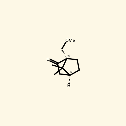 COC[C@@]12CC[C@@H](CC1=O)C2(C)C